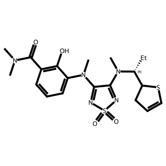 CC[C@H](C1CC=CS1)N(C)C1=NS(=O)(=O)N=C1N(C)c1cccc(C(=O)N(C)C)c1O